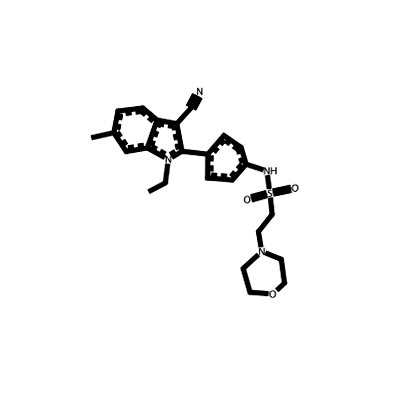 CCn1c(-c2ccc(NS(=O)(=O)CCN3CCOCC3)cc2)c(C#N)c2ccc(C)cc21